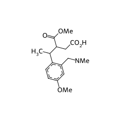 CNCc1cc(OC)ccc1C(C)C(CC(=O)O)C(=O)OC